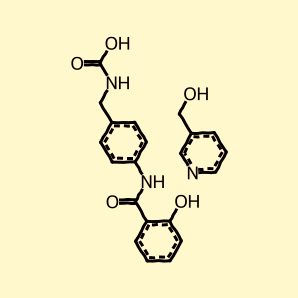 O=C(O)NCc1ccc(NC(=O)c2ccccc2O)cc1.OCc1cccnc1